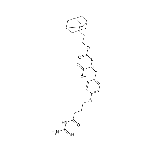 N=C(N)NC(=O)CCCOc1ccc(C[C@H](NC(=O)OCCC23CC4CC(CC(C4)C2)C3)C(=O)O)cc1